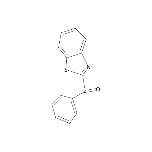 O=C(c1[c]cccc1)c1nc2ccccc2s1